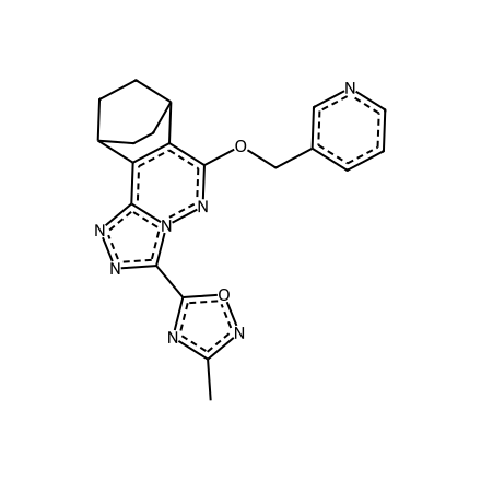 Cc1noc(-c2nnc3c4c(c(OCc5cccnc5)nn23)C2CCC4CC2)n1